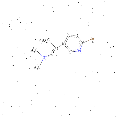 CCOC(=O)/C(=C\N(C)C)c1ccc(Br)nc1